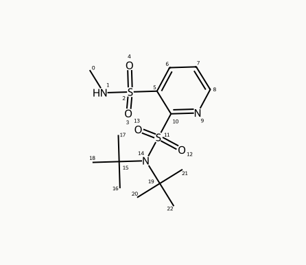 CNS(=O)(=O)c1cccnc1S(=O)(=O)N(C(C)(C)C)C(C)(C)C